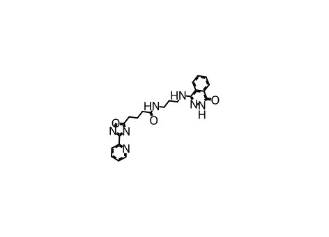 O=C(CCCc1nc(-c2ccccn2)no1)NCCCNc1n[nH]c(=O)c2ccccc12